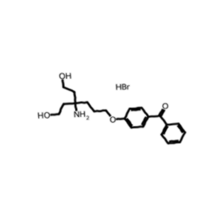 Br.NC(CCO)(CCO)CCCOc1ccc(C(=O)c2ccccc2)cc1